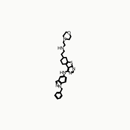 c1ccc(Cn2ncc3cc(Nc4ncnc5sc6c(c45)CCC(CCNCCN4CCOCC4)C6)ccc32)cc1